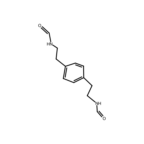 O=CNCCc1ccc(CCNC=O)cc1